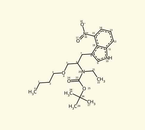 CCCCOCC(Cc1c[nH]c2cccc([N+](=O)[O-])c12)N(CC)C(=O)OC(C)(C)C